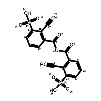 C#Cc1c(C(=O)OC(=O)c2cccc(S(=O)(=O)O)c2C#C)cccc1S(=O)(=O)O